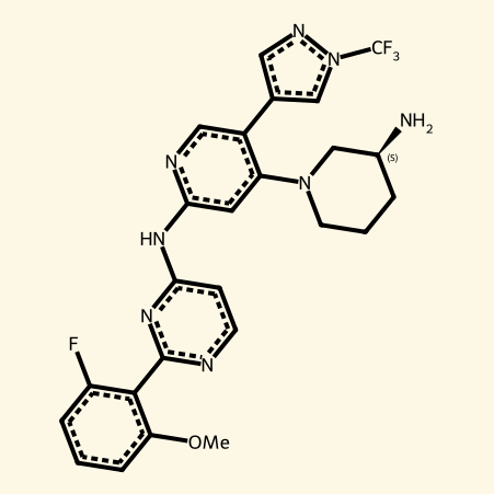 COc1cccc(F)c1-c1nccc(Nc2cc(N3CCC[C@H](N)C3)c(-c3cnn(C(F)(F)F)c3)cn2)n1